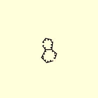 c1nc2cc[nH]cc-2n1